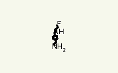 NCCc1ccc(CNCCCF)cc1